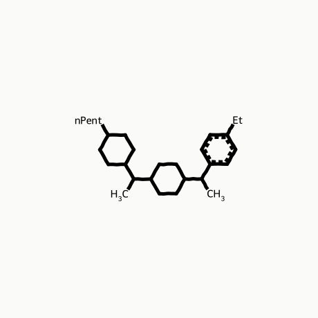 CCCCCC1CCC(C(C)C2CCC(C(C)c3ccc(CC)cc3)CC2)CC1